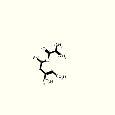 C=C(C)C(=O)OC(CC)C/C(=C/C(=O)O)C(=O)O